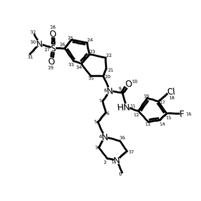 CN1CCN(CCCN(C(=O)Nc2ccc(F)c(Cl)c2)C2CCc3ccc(S(=O)(=O)N(C)C)cc3C2)CC1